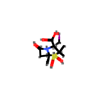 CC1(C)[C@](CI)(C(=O)O)N2C(=O)C[C@H]2S1(=O)=O